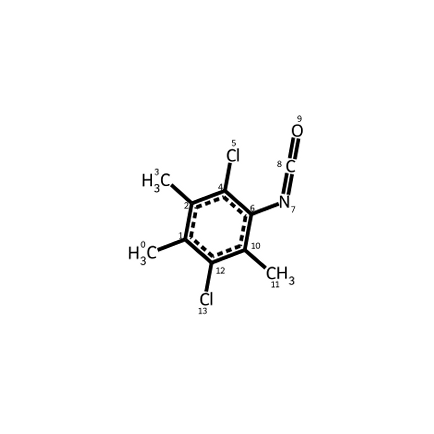 Cc1c(C)c(Cl)c(N=C=O)c(C)c1Cl